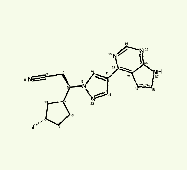 C[C@H]1CCC([C@@H](CC#N)n2cc(-c3ncnc4[nH]ccc34)cn2)C1